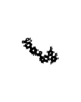 CC(=O)N1CCC(c2ccc(NC(=O)c3nnc4cnc(N5C[C@@H](F)C[C@@H]5c5cc(F)ccc5F)cn34)cc2)CC1